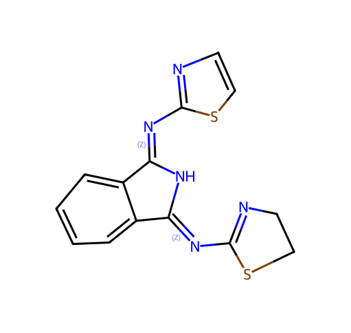 c1ccc2c(c1)/C(=N/C1=NCCS1)N/C2=N\c1nccs1